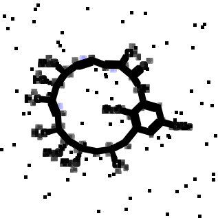 COc1cc2c(OC)c(c1)NC(=O)/C(C)=C/C=C\[C@H](OC)[C@@H](O)/C(C)=C/[C@H](C)[C@@H](OC)[C@@H](OC)C[C@H](C)C2